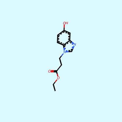 CCOC(=O)CCn1cnc2cc(O)ccc21